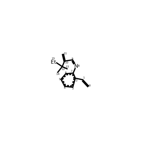 C=Cc1ccccc1/N=C\C(=C)C(C)(C)CC